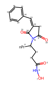 CCCC(CCC(=O)NO)N1C(=O)CC(=Cc2ccccc2)C1=O